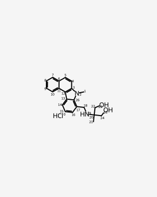 Cl.Cn1c2ccc3ccccc3c2c2cccc(CNC(C)(CO)CO)c21